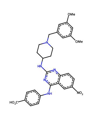 COc1cc(CN2CCC(Nc3nc(Nc4ccc(C(=O)O)cc4)c4cc([N+](=O)[O-])ccc4n3)CC2)cc(OC)c1